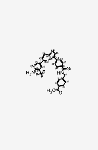 CC(=O)c1ccc(CNC(=O)c2ccc(-c3cnc4ccc(-c5cnc(N)c(C(F)(F)F)c5)nn34)cc2)cc1